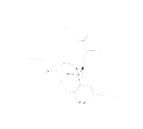 COc1ccc2c(c1)C13CCN(C(=O)OC(C)(C)C)C(C2)C12CCC(N(C)C(=O)OCC(Cl)(Cl)Cl)C3CC2